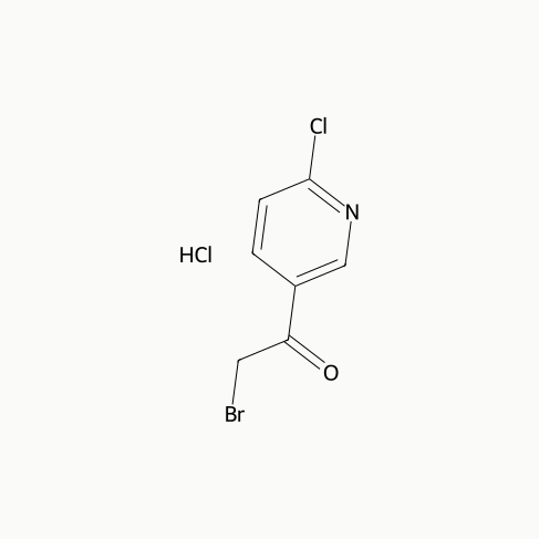 Cl.O=C(CBr)c1ccc(Cl)nc1